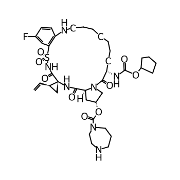 C=C[C@@H]1C[C@@]12NC(=O)[C@@H]1C[C@@H](OC(=O)N3CCCNCC3)CN1C(=O)[C@@H](NC(=O)OC1CCCC1)CCCCCCCNc1ccc(F)cc1S(=O)(=O)NC2=O